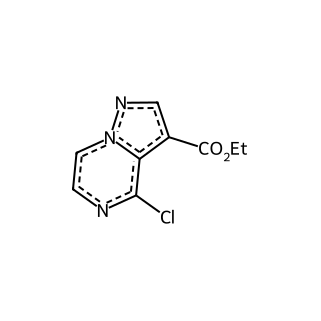 CCOC(=O)c1cnn2ccnc(Cl)c12